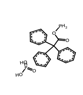 O=C(OP)C(c1ccccc1)(c1ccccc1)c1ccccc1.O=[PH](O)O